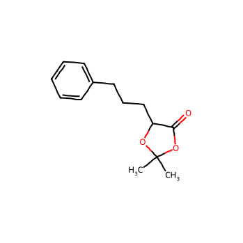 CC1(C)OC(=O)C(CCCc2ccccc2)O1